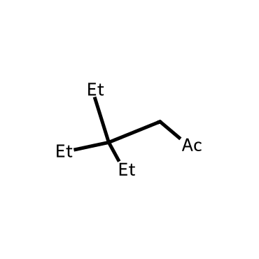 CCC(CC)(CC)CC(C)=O